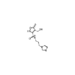 O=C(NCCCn1ccnc1)c1[nH]o[n+](=O)c1CO